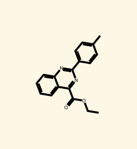 CCOC(=O)c1nc(-c2ccc(C)cc2)nc2ccccc12